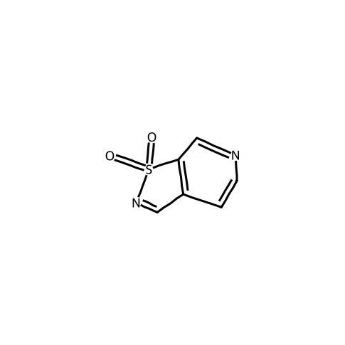 O=S1(=O)N=Cc2ccncc21